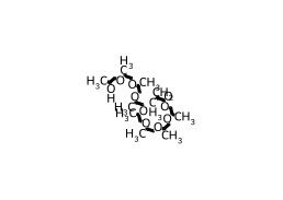 C=C(C)C(=O)OCC(C)OCC(C)OCC(C)OCC(C)OCC(C)OCC(C)OCC(C)OCC(C)O